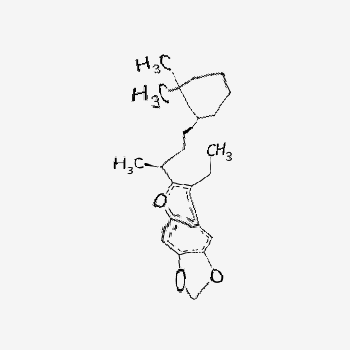 CCc1c([C@@H](C)CC[C@@H]2CCCCC2(C)C)oc2cc3c(cc12)OCO3